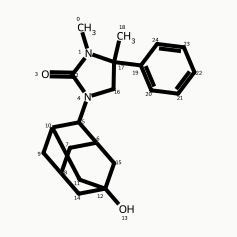 CN1C(=O)N(C2C3CC4CC2CC(O)(C4)C3)CC1(C)c1ccccc1